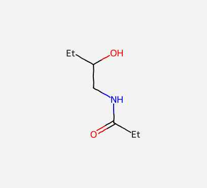 CCC(=O)NCC(O)CC